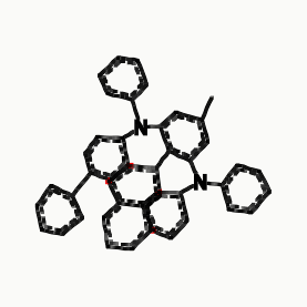 Cc1cc(N(c2ccccc2)c2ccccc2)c(-c2ccc3ccccc3c2)c(N(c2ccccc2)c2ccc(-c3ccccc3)cc2)c1